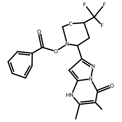 Cc1[nH]c2cc(C3CC(C(F)(F)F)CCN3OC(=O)c3ccccc3)nn2c(=O)c1C